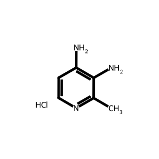 Cc1nccc(N)c1N.Cl